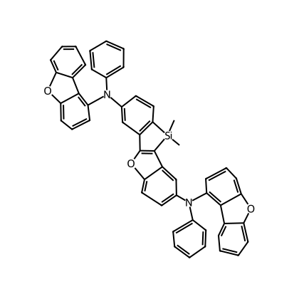 C[Si]1(C)c2ccc(N(c3ccccc3)c3cccc4oc5ccccc5c34)cc2-c2oc3ccc(N(c4ccccc4)c4cccc5oc6ccccc6c45)cc3c21